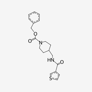 O=C(NCC1CCN(C(=O)OCc2ccccc2)CC1)c1ccsc1